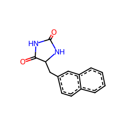 O=C1NC(=O)C(Cc2ccc3ccccc3c2)N1